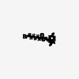 CC1CC2CC(C)CC(CCOC(=O)CCCCCCBr)(C1)C2